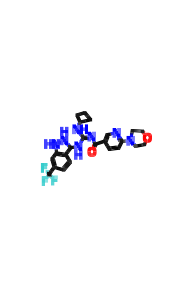 O=C(/N=C(/NC1CCC1)NC1NNc2cc(C(F)(F)F)ccc21)c1ccc(N2CCOCC2)nc1